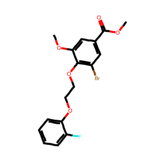 COC(=O)c1cc(Br)c(OCCOc2ccccc2F)c(OC)c1